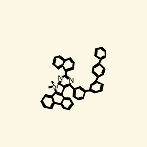 C[Si]1(C)c2nc(-c3cccc4ccccc34)nc(-c3cccc(-c4cccc(-c5ccc(-c6ccccc6)cc5)c4)c3)c2-c2c1c1ccccc1c1ccccc21